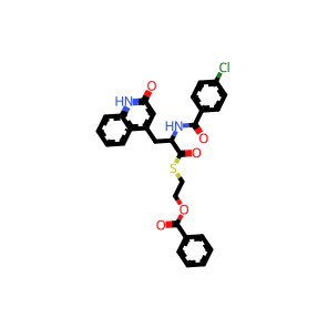 O=C(NC(Cc1cc(=O)[nH]c2ccccc12)C(=O)SCCOC(=O)c1ccccc1)c1ccc(Cl)cc1